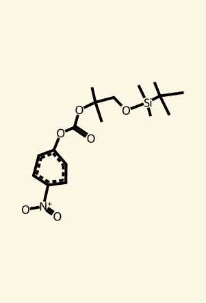 CC(C)(CO[Si](C)(C)C(C)(C)C)OC(=O)Oc1ccc([N+](=O)[O-])cc1